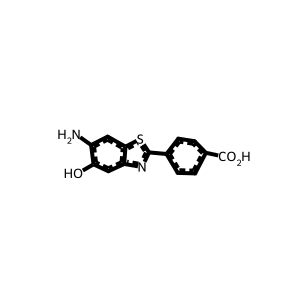 Nc1cc2sc(-c3ccc(C(=O)O)cc3)nc2cc1O